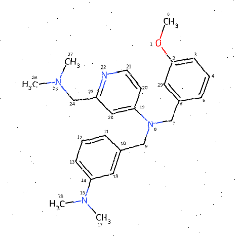 COc1cccc(CN(Cc2cccc(N(C)C)c2)c2ccnc(CN(C)C)c2)c1